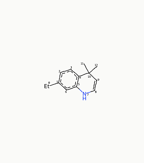 CCc1ccc2c(c1)NC=CC2(C)C